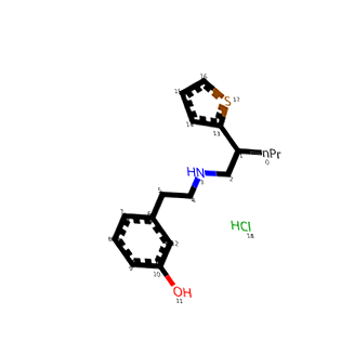 CCCC(CNCCc1cccc(O)c1)c1cccs1.Cl